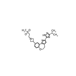 CC(C)c1n[nH]c(-c2cc3n(n2)-c2cc(C4CN(CCS(C)(=O)=O)C4)ccc2OCC3)n1